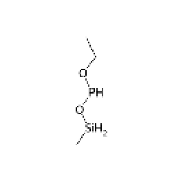 CCOPO[SiH2]C